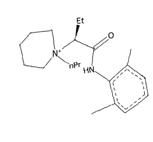 CCC[N+]1([C@@H](CC)C(=O)Nc2c(C)cccc2C)CCCCC1